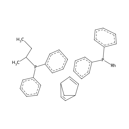 C1=CC2C=CC1C2.CCC(C)P(c1ccccc1)c1ccccc1.[Rh][P](c1ccccc1)c1ccccc1